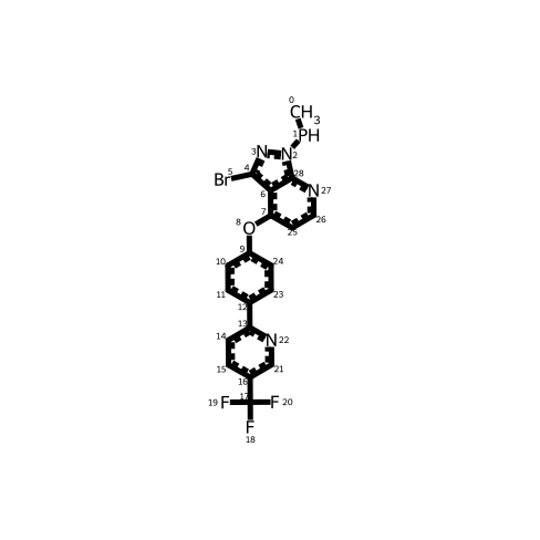 CPn1nc(Br)c2c(Oc3ccc(-c4ccc(C(F)(F)F)cn4)cc3)ccnc21